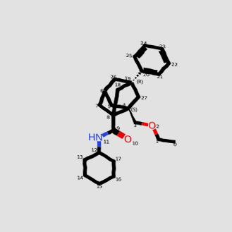 CCOC[C@]12CC3CC1(C(=O)NC1CCCCC1)C[C@@](c1ccccc1)(C3)C2